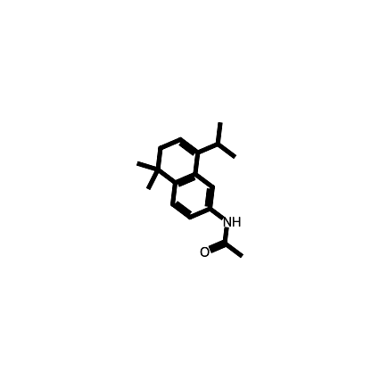 CC(=O)Nc1ccc2c(c1)C(C(C)C)=CCC2(C)C